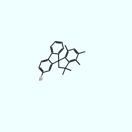 Cc1cc(C)c2c(c1C)C(C)(C)CC21c2ccccc2-c2ccc(Br)cc21